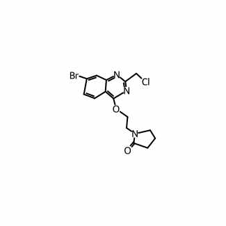 O=C1CCCN1CCOc1nc(CCl)nc2cc(Br)ccc12